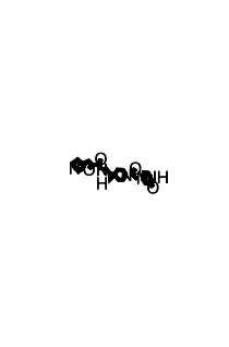 O=C1CN(CC(=O)N2CCC3(CC2)CC3CNC(=O)c2cc3ccncc3o2)CCN1